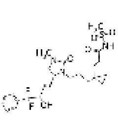 CN1C[C@H](C=CC(O)C(F)(F)c2ccccc2)N(CCCC2(CCC(=O)NS(C)(=O)=O)CC2)C1=O